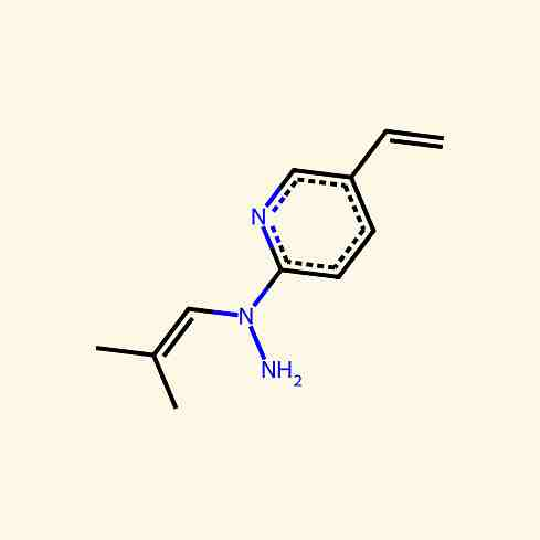 C=Cc1ccc(N(N)C=C(C)C)nc1